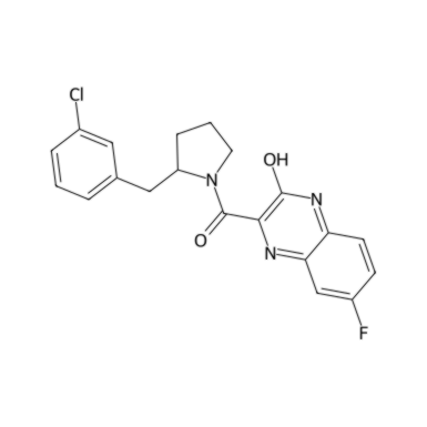 O=C(c1nc2cc(F)ccc2nc1O)N1CCCC1Cc1cccc(Cl)c1